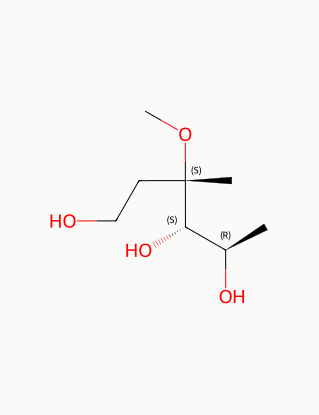 CO[C@@](C)(CCO)[C@@H](O)[C@@H](C)O